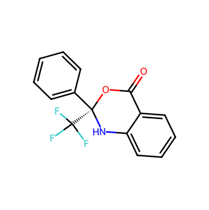 O=C1O[C@@](c2ccccc2)(C(F)(F)F)Nc2ccccc21